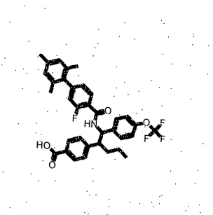 CCCC(c1ccc(C(=O)O)cc1)C(NC(=O)c1ccc(-c2c(C)cc(C)cc2C)cc1F)c1ccc(OC(F)(F)F)cc1